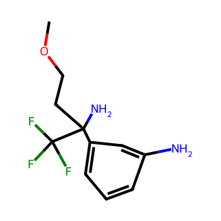 COCCC(N)(c1cccc(N)c1)C(F)(F)F